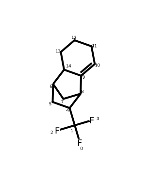 FC(F)(F)C1CC2CC1C1=CCCCC12